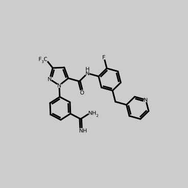 N=C(N)c1cccc(-n2nc(C(F)(F)F)cc2C(=O)Nc2cc(Cc3cccnc3)ccc2F)c1